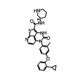 Cc1cc(Oc2ccccc2C2CC2)ccc1N1C(=O)Nc2c(C(=O)N[C@@H]3CCCNC3)sc3nccc1c23